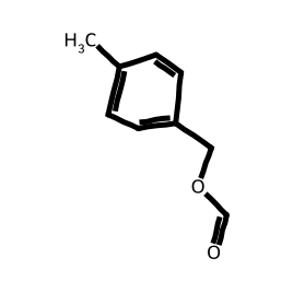 Cc1ccc(COC=O)cc1